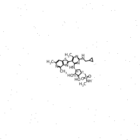 CNS(=O)(=O)C[C@H]1C[C@@H](Nc2nc(NCC3CC3)nc(C)c2-c2nc3c(C)nc(C)cc3s2)[C@H](O)[C@@H]1O